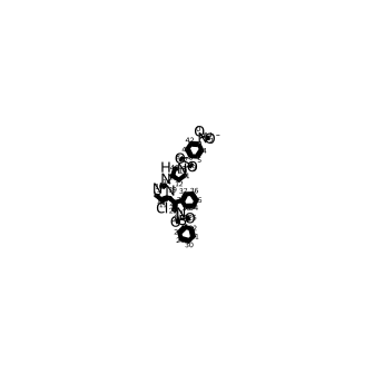 O=[N+]([O-])c1ccc(S(=O)(=O)N2CCC(Nc3ncc(Cl)c(-c4cn(S(=O)(=O)c5ccccc5)c5ccccc45)n3)C2)cc1